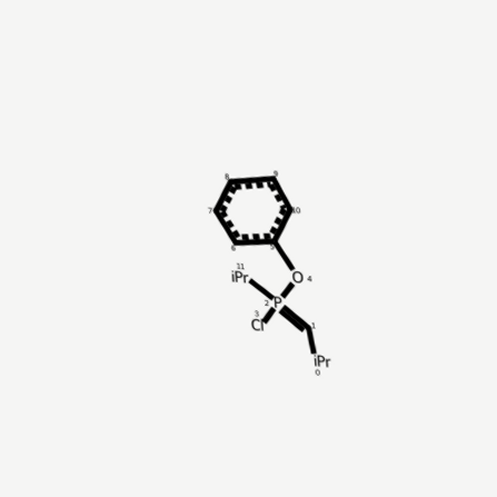 CC(C)C=P(Cl)(Oc1ccccc1)C(C)C